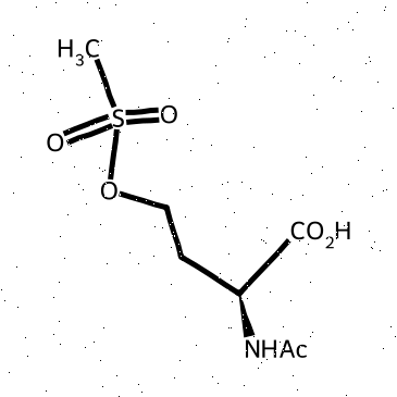 CC(=O)N[C@@H](CCOS(C)(=O)=O)C(=O)O